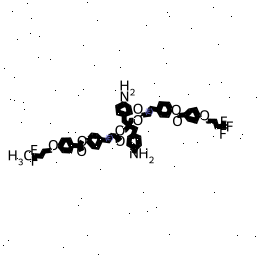 CC(F)(F)CCCOc1ccc(C(=O)Oc2ccc(/C=C/C(=O)OCC(COC(=O)/C=C/c3ccc(OC(=O)c4ccc(OCCCC(F)(F)F)cc4)cc3)(Cc3ccc(N)cc3)Cc3ccc(N)cc3)cc2)cc1